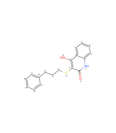 O=c1[nH]c2ccccc2c(O)c1SCCCc1ccccc1